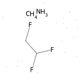 C.FCC(F)F.N